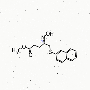 COC(=O)CC/C(CSc1ccc2ccccc2c1)=N/O